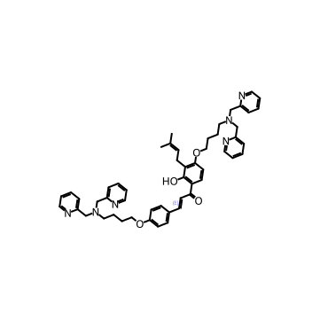 CC(C)=CCc1c(OCCCCN(Cc2ccccn2)Cc2ccccn2)ccc(C(=O)/C=C/c2ccc(OCCCCN(Cc3ccccn3)Cc3ccccn3)cc2)c1O